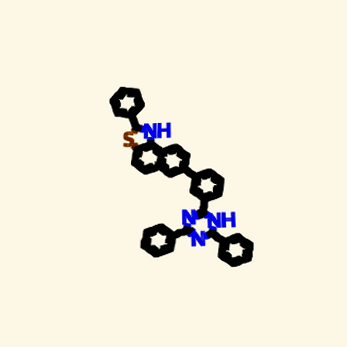 c1ccc(C2=NC(c3ccccc3)NC(c3cccc(-c4ccc5c6c(ccc5c4)SC(c4ccccc4)N6)c3)=N2)cc1